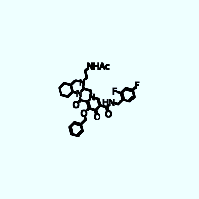 CC(=O)NCCN1CC2CCCCC2N2C(=O)c3c(OCc4ccccc4)c(=O)c(C(=O)NCc4ccc(F)cc4F)cn3CC12